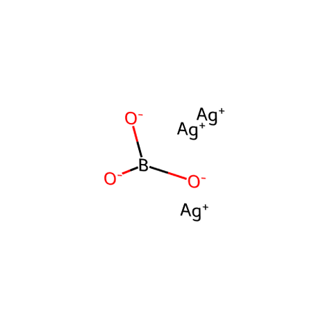 [Ag+].[Ag+].[Ag+].[O-]B([O-])[O-]